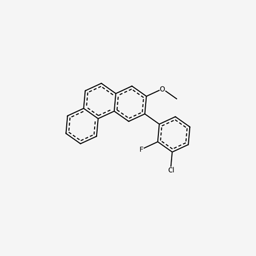 COc1cc2ccc3ccccc3c2cc1-c1cccc(Cl)c1F